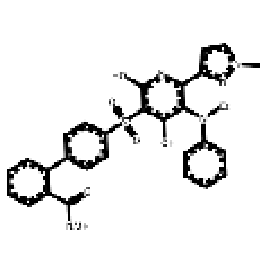 CCN(c1ccccc1)c1c(-c2ccn(C)n2)nc(O)c(S(=O)(=O)c2ccc(-c3ccccc3C(=O)NC)cc2)c1O